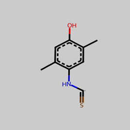 Cc1cc(N[C]=S)c(C)cc1O